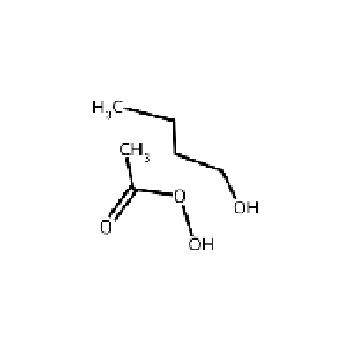 CC(=O)OO.CCCCO